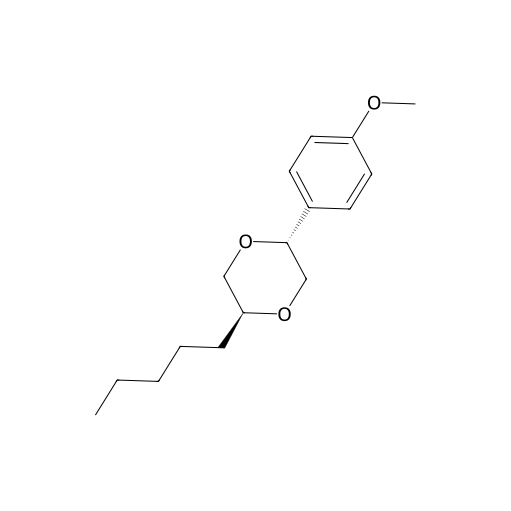 CCCCC[C@H]1CO[C@H](c2ccc(OC)cc2)CO1